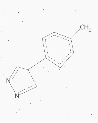 Cc1ccc(C2C=NN=C2)cc1